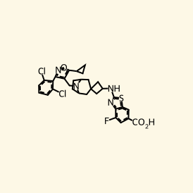 O=C(O)c1cc(F)c2nc(NC3CC4(C3)CC3CCC(C4)N3Cc3c(-c4c(Cl)cccc4Cl)noc3C3CC3)sc2c1